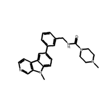 CN1CCN(C(=O)NCc2cccc(-c3ccc4c(c3)c3ccncc3n4C)c2)CC1